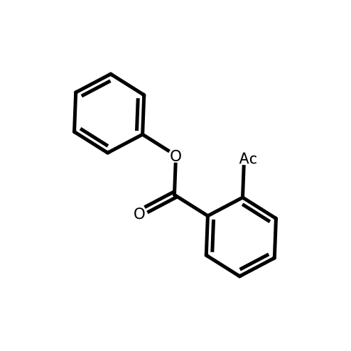 CC(=O)c1ccccc1C(=O)Oc1ccccc1